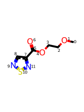 COCCOC(=O)c1cnsn1